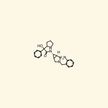 Nc1ccccc1CN1CC2[C@H](C1)[C@H]2NC(=O)C(O)(c1ccccc1)C1CCCC1